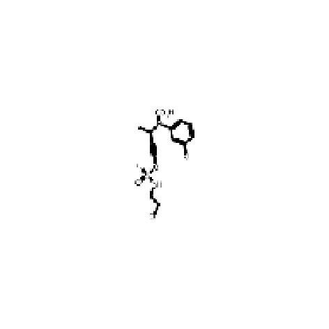 CC(C#COS(=O)(=O)NCCCl)N(C(=O)O)c1cccc(Cl)c1